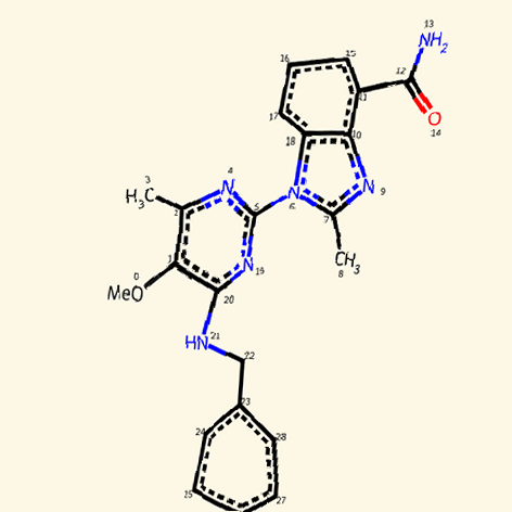 COc1c(C)nc(-n2c(C)nc3c(C(N)=O)cccc32)nc1NCc1ccccc1